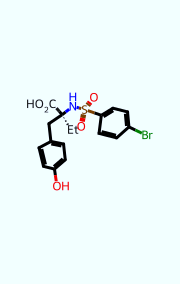 CC[C@@](Cc1ccc(O)cc1)(NS(=O)(=O)c1ccc(Br)cc1)C(=O)O